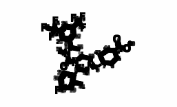 COC(=O)[C@H]1CC[C@H](CN2CCN(C(=O)N(C)C(C)c3cc(C(F)(F)F)cc(C(F)(F)F)c3)[C@@H](c3ccc(F)cc3C)C2)CC1